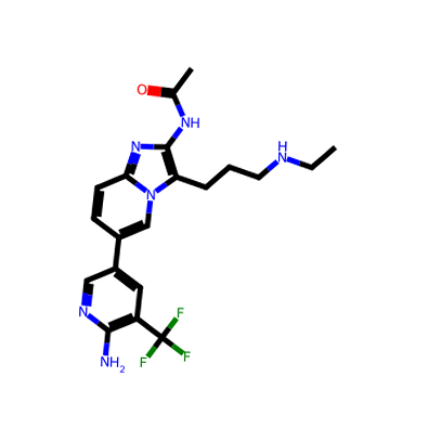 CCNCCCc1c(NC(C)=O)nc2ccc(-c3cnc(N)c(C(F)(F)F)c3)cn12